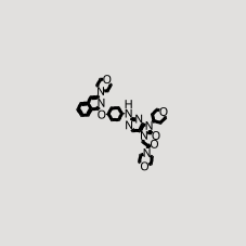 O=C(Cn1c(=O)n(C2CCOCC2)c2nc(N[C@H]3CC[C@@H](Oc4nc(N5CCOCC5)cc5ccccc45)CC3)ncc21)N1CCOCC1